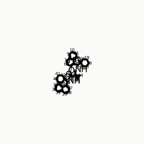 O=C(N[C@@H](c1cccc2ccccc12)C1(O)CCCCC1)C1(C(=O)N[C@@H](c2cccc3ccccc23)C2(O)CCCCC2)CC1